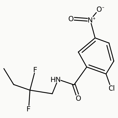 CCC(F)(F)CNC(=O)c1cc([N+](=O)[O-])ccc1Cl